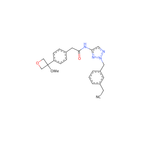 COC1(c2ccc(CC(=O)Nc3cnn(Cc4cccc(CC#N)c4)n3)cc2)COC1